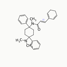 CN(C)C1(c2ccccc2)CCC(c2ccccc2)(N(C)C(=O)/C=C/C2=CCCC=C2)CC1